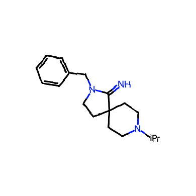 CC(C)N1CCC2(CCN(Cc3ccccc3)C2=N)CC1